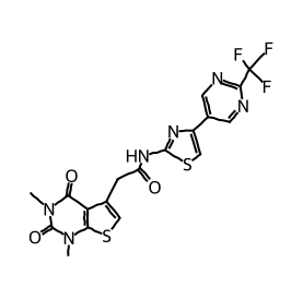 Cn1c(=O)c2c(CC(=O)Nc3nc(-c4cnc(C(F)(F)F)nc4)cs3)csc2n(C)c1=O